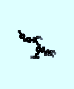 Cc1oc(-c2ccc(Oc3ccc(C#N)cc3)cc2)nc1CCOc1ccc(CCC(=O)O)c(CNC(=O)OC(C)C)c1